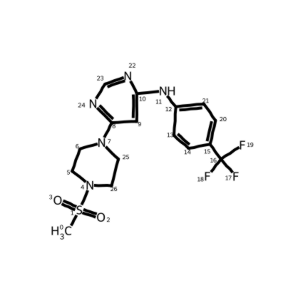 CS(=O)(=O)N1CCN(c2cc(Nc3ccc(C(F)(F)F)cc3)ncn2)CC1